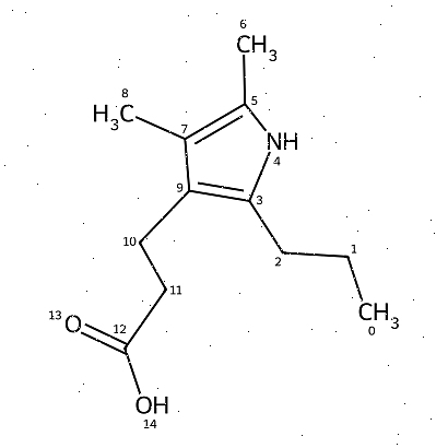 CCCc1[nH]c(C)c(C)c1CCC(=O)O